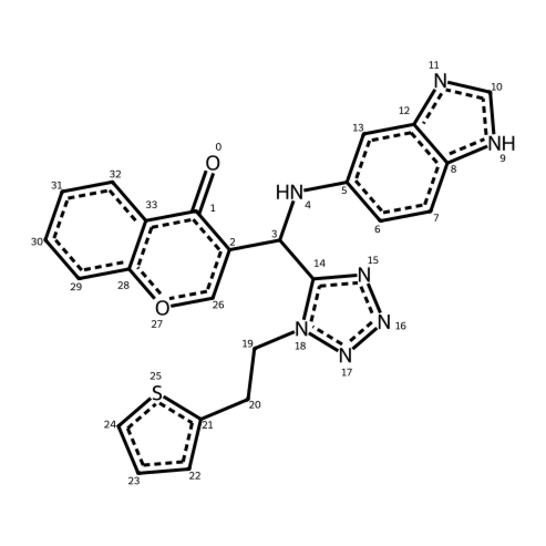 O=c1c(C(Nc2ccc3[nH]cnc3c2)c2nnnn2CCc2cccs2)coc2ccccc12